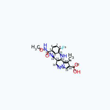 CONC(=O)c1ccc(F)c(Nc2c(C#N)cnn3cc(C(=O)O)c(C)c23)c1